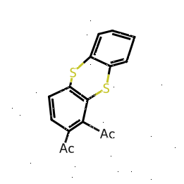 CC(=O)c1ccc2c(c1C(C)=O)Sc1ccccc1S2